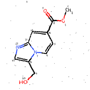 COC(=O)c1ccn2c(CO)cnc2c1